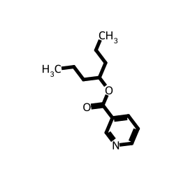 CCCC(CCC)OC(=O)c1cccnc1